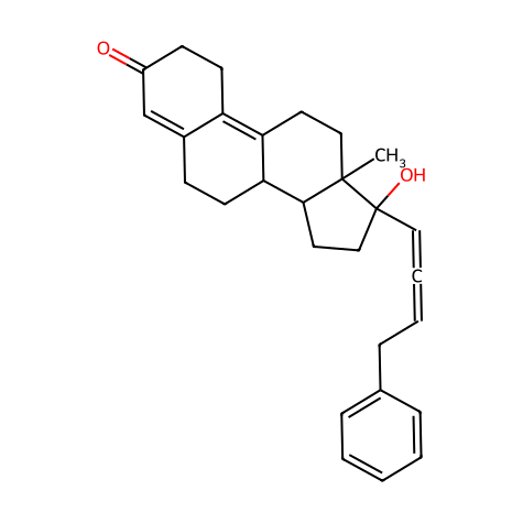 CC12CCC3=C4CCC(=O)C=C4CCC3C1CCC2(O)C=C=CCc1ccccc1